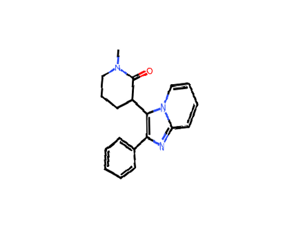 CN1CCCC(c2c(-c3ccccc3)nc3ccccn23)C1=O